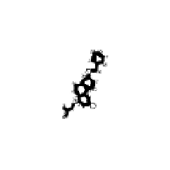 CC(C)CC[C@@H]1CC(=O)CC2c3ccc(OCc4ccccc4)cc3CC[C@@]21C